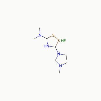 CN1CCN(C2NC(N(C)C)SS2)C1.F